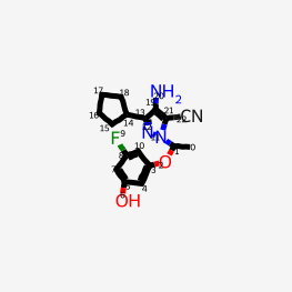 CC(Oc1cc(O)cc(F)c1)n1nc(C2CCCC2)c(N)c1C#N